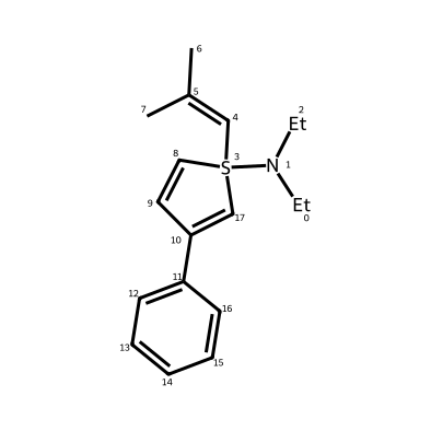 CCN(CC)S1(C=C(C)C)C=CC(c2ccccc2)=C1